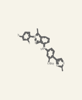 COc1cc(Nc2cccc3c(C)n(-c4ccc(F)cc4F)nc23)ccc1-c1cnc(C)s1